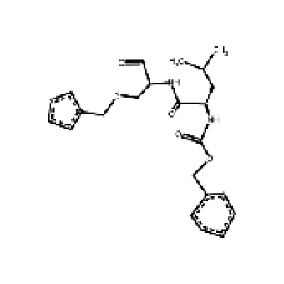 CC(C)C[C@@H](NC(=O)OCc1ccccc1)C(=O)NC(C=O)CSCc1ccsc1